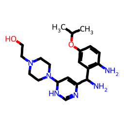 CC(C)Oc1ccc(N)c(C(N)C2=CC(N3CCN(CCO)CC3)NC=N2)c1